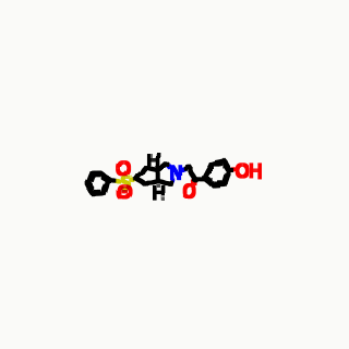 O=C(CN1C[C@H]2C[C@@H](S(=O)(=O)c3ccccc3)C[C@H]2C1)c1ccc(O)cc1